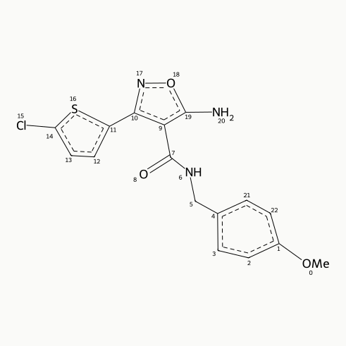 COc1ccc(CNC(=O)c2c(-c3ccc(Cl)s3)noc2N)cc1